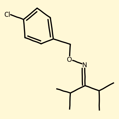 CC(C)C(=NOCc1ccc(Cl)cc1)C(C)C